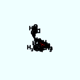 COCOc1cc(-c2ncc3c(N4CC5CCC(C4)N5C(=O)OC(C)(C)C)nc(OCC4(CN5CCN(CCCC6CCN(C(=O)c7ccc(Cl)c(N8CCC(=O)NC8=O)c7)CC6)CC5)CCC4)nc3c2F)c2c(C#C[Si](C(C)C)(C(C)C)C(C)C)c(F)ccc2c1